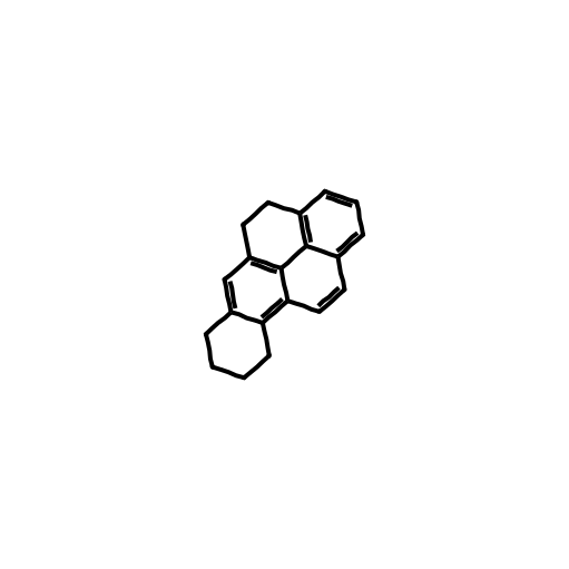 c1cc2c3c(c1)ccc1c4c(cc(c13)CC2)CCCC4